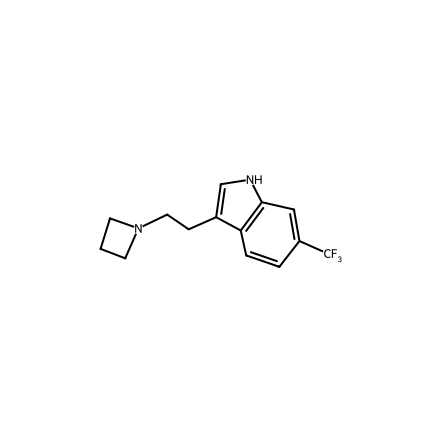 FC(F)(F)c1ccc2c(CCN3CCC3)c[nH]c2c1